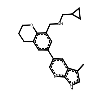 Cc1c[nH]c2ncc(-c3cc4c(c(CNCC5CC5)c3)OCCC4)cc12